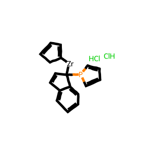 C1=CC[C]([Zr][C]2(p3cccc3)C=Cc3ccccc32)=C1.Cl.Cl